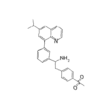 CC(C)c1cc(-c2cccc(C(N)Cc3ccc(S(C)(=O)=O)cc3)c2)c2ncccc2c1